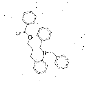 O=C(OCCCc1ccccc1N(Cc1ccccc1)Cc1ccccc1)c1ccccc1